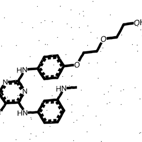 CNc1cccc(Nc2nc(Nc3ccc(OCCOCCO)cc3)ncc2F)c1